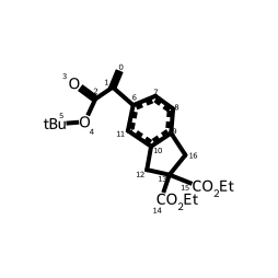 C=C(C(=O)OC(C)(C)C)c1ccc2c(c1)CC(C(=O)OCC)(C(=O)OCC)C2